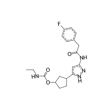 CCNC(=O)OC1CCC(c2cc(NC(=O)Cc3ccc(F)cc3)n[nH]2)C1